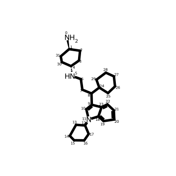 N[C@H]1CC[C@H](NCCC(c2cn(C3CCCCC3)c3ccccc23)C2CCCCC2)CC1